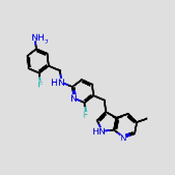 Cc1cnc2[nH]cc(Cc3ccc(NCc4cc(N)ccc4F)nc3F)c2c1